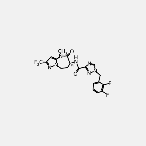 CN1C(=O)[C@@H](NC(=O)c2ncn(Cc3cccc(F)c3F)n2)CCn2nc(C(F)(F)F)cc21